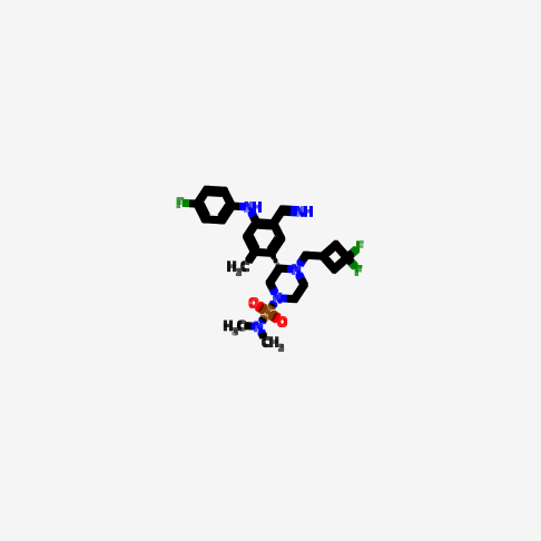 Cc1cc(Nc2ccc(F)cc2)c(C=N)cc1[C@H]1CN(S(=O)(=O)N(C)C)CCN1CC1CC(F)(F)C1